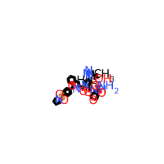 CC(C)(O)c1cnnn1[C@H]1C[C@@H](C(=O)NC2(C(=O)C(N)=O)CCOCC2)N(C(=O)/C(CC2CCCCC2)=N/C(=O)c2ccc(S(=O)(=O)N3CCCC3)cc2)C1